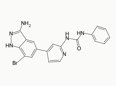 Nc1n[nH]c2c(Br)cc(-c3ccnc(NC(=O)Nc4ccccc4)c3)cc12